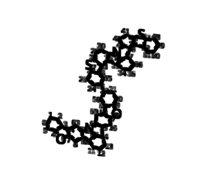 c1ccc2c(c1)oc1cc3c4cccc5c6cc7oc8ccc(-c9ccc%10sc%11ccc%12c(c%13cccc%14c%15c%16c(ccc%15n%12c%14%13)sc%12ccccc%12%16)c%11c%10c9)cc8c7cc6n(c3cc12)c45